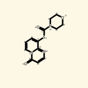 O=C(Sc1cccn2c(=O)ccnc12)N1CCOCC1